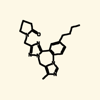 CCCCc1ccc2c(c1)-c1nc(CN3CCCC3=O)nn1Cc1c(C)ncn1-2